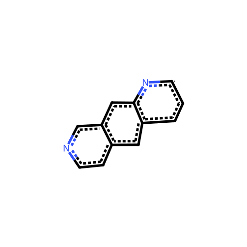 [c]1ccc2cc3ccncc3cc2n1